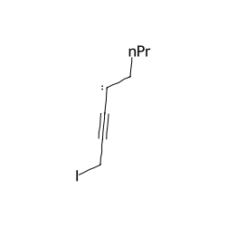 CCCC[C]C#CCI